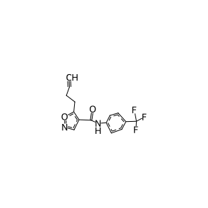 C#CCCc1oncc1C(=O)Nc1ccc(C(F)(F)F)cc1